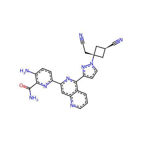 N#CC[C@]1(n2ccc(-c3nc(-c4ccc(N)c(C(N)=O)n4)cc4ncccc34)n2)C[C@H](C#N)C1